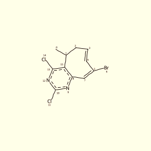 CC1C/C=C/C(Br)=C\c2nc(Cl)nc(Cl)c21